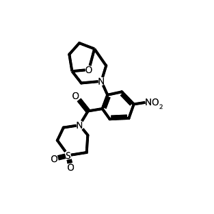 O=C(c1ccc([N+](=O)[O-])cc1N1CC2CCC(C1)O2)N1CCS(=O)(=O)CC1